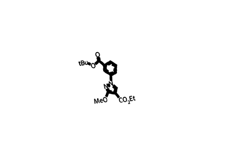 CCOC(=O)c1cn(-c2cccc(C(=O)OC(C)(C)C)c2)nc1OC